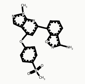 Cn1ncc2c(Oc3ccc(S(C)(=O)=O)cc3)cc(-c3cccc4c(N)noc34)nc21